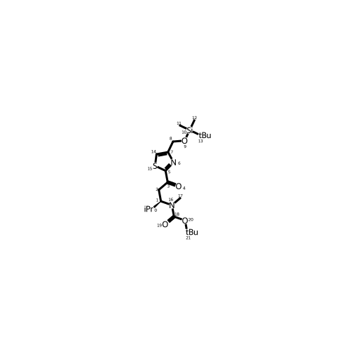 CC(C)[C@@H](CC(=O)c1nc(CO[Si](C)(C)C(C)(C)C)cs1)N(C)C(=O)OC(C)(C)C